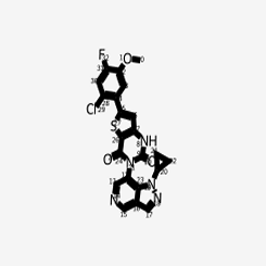 COc1cc(-c2cc3[nH]c(=O)n(-c4cncc5cnn(C6CC6)c45)c(=O)c3s2)c(Cl)cc1F